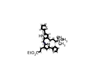 CCOC(=O)CCC1=CC(c2cccs2)=N/C1=C\c1[nH]c(-c2cccs2)cc1CCC[N+](C)(C)C